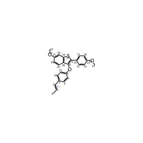 C/C=C/c1ccc(Oc2c(-c3ccc(OC)cc3)sc3cc(OC)ccc23)cc1